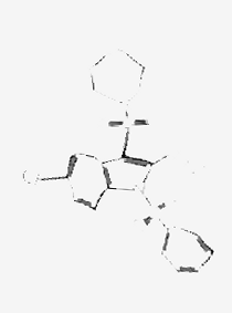 O=C(O)c1c(S(=O)(=O)N2CCOCC2)c2cc(Cl)ccc2n1S(=O)(=O)c1ccccc1